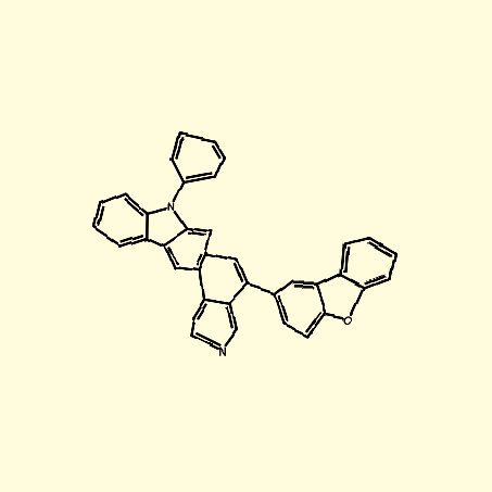 c1ccc(-n2c3ccccc3c3cc4c(cc(-c5ccc6oc7ccccc7c6c5)c5cnccc54)cc32)cc1